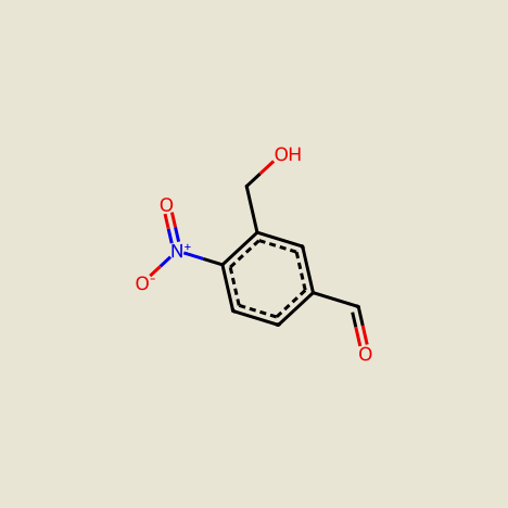 O=Cc1ccc([N+](=O)[O-])c(CO)c1